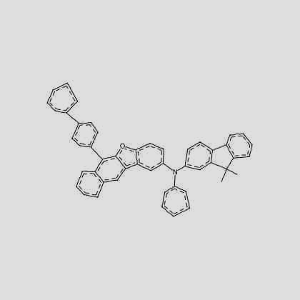 CC1(C)c2ccccc2-c2ccc(N(c3ccccc3)c3ccc4oc5c(-c6ccc(-c7ccccc7)cc6)c6ccccc6cc5c4c3)cc21